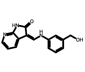 O=C1Nc2ncccc2C1=CNc1cccc(CO)c1